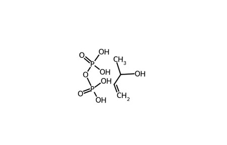 C=CC(C)O.O=P(O)(O)OP(=O)(O)O